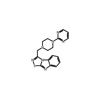 c1cnc(N2CCN(Cc3nsc4nc5ccccc5n34)CC2)nc1